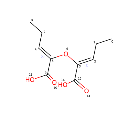 CC/C=C(\O/C(=C\CC)C(=O)O)C(=O)O